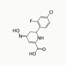 O=C(O)C1=CC(=NO)CC(c2ccc(Cl)cc2F)N1